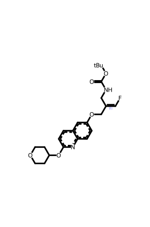 CC(C)(C)OC(=O)NC/C(=C\F)COc1ccc2nc(OC3CCOCC3)ccc2c1